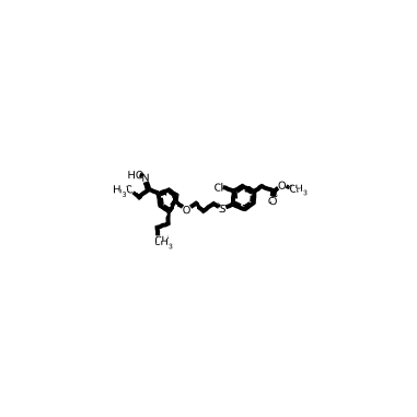 CCCc1cc(/C(CC)=N/O)ccc1OCCCSc1ccc(CC(=O)OC)cc1Cl